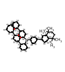 CC1(C)CCC(C)(C)c2cc(-c3ccc(N(c4ccc(-c5ccccc5)cc4)c4ccccc4-c4ccc(-c5ccccc5)cc4)cc3)ccc21